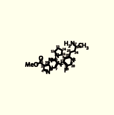 COC(=O)c1cnn2cc(F)c(N3CCC[C@@H]3c3cc(F)cnc3CC[C@@H](C)N)nc12